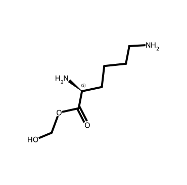 NCCCC[C@H](N)C(=O)OCO